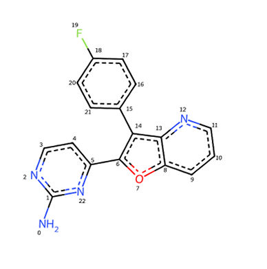 Nc1nccc(-c2oc3cccnc3c2-c2ccc(F)cc2)n1